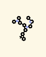 CC1(C)c2ccccc2-c2cc(-c3ccc4c(c3)c3cc(-c5ccc6c(c5)c5ccccc5n6-c5ccccc5)ccc3n4-c3cccc(-c4cccc(-c5ccccc5)n4)c3)ccc21